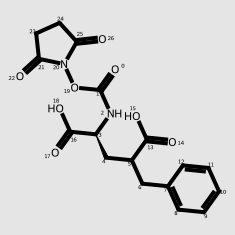 O=C(N[C@@H](CC(Cc1ccccc1)C(=O)O)C(=O)O)ON1C(=O)CCC1=O